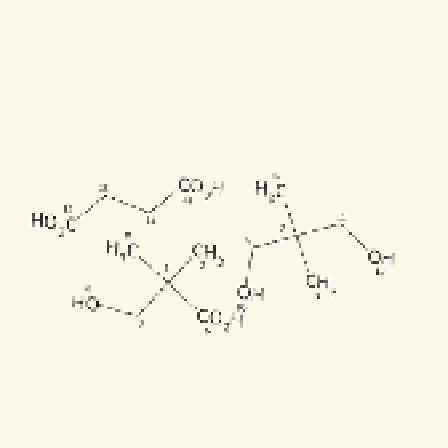 CC(C)(CO)C(=O)O.CC(C)(CO)CO.O=C(O)CCC(=O)O